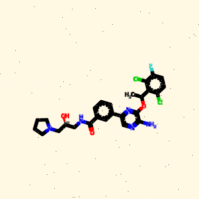 CC(Oc1nc(-c2cccc(C(=O)NC[C@@H](O)CN3CCCC3)c2)cnc1N)c1c(Cl)ccc(F)c1Cl